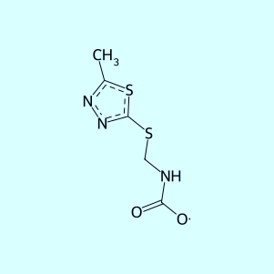 Cc1nnc(SCNC([O])=O)s1